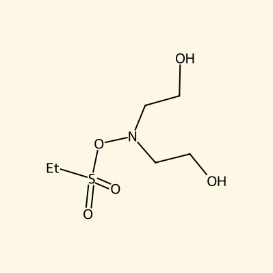 CCS(=O)(=O)ON(CCO)CCO